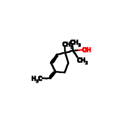 CC=C1C=CC(C)(C(C)(C)O)CC1